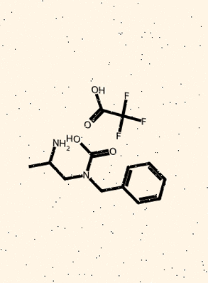 CC(N)CN(Cc1ccccc1)C(=O)O.O=C(O)C(F)(F)F